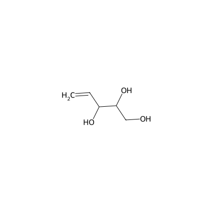 C=CC(O)C(O)CO